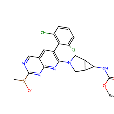 C[S+]([O-])c1ncc2cc(-c3c(Cl)cccc3Cl)c(N3CC4C(C3)C4NC(=O)OC(C)(C)C)nc2n1